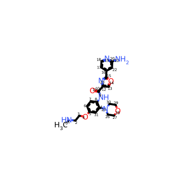 CNCCOc1ccc(NC(=O)c2coc(-c3ccnc(N)c3)n2)c(N2CCOCC2)c1